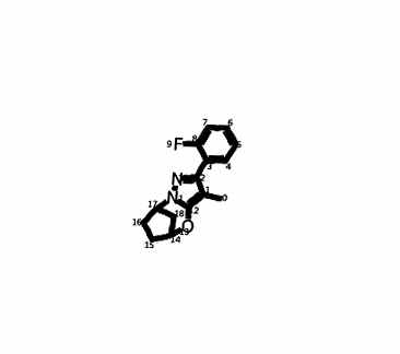 Cc1c(-c2ccccc2F)nn2c1OC1CCC2C1